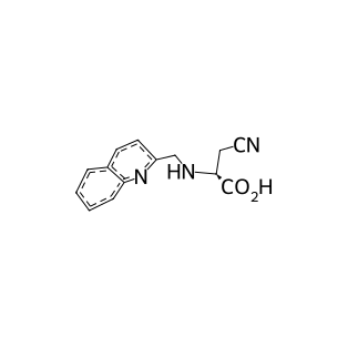 N#CC[C@H](NCc1ccc2ccccc2n1)C(=O)O